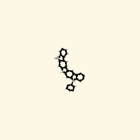 c1ccc(-n2c3ccccc3c3cc4c(cc32)sc2cc3[nH]c5ccccc5c3cc24)cc1